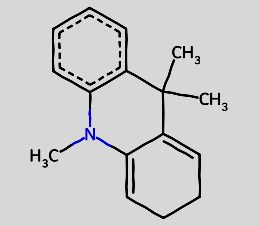 CN1C2=CCCC=C2C(C)(C)c2ccccc21